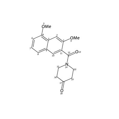 COc1cc2c(OC)cccc2cc1C(=O)N1CCC(=O)CC1